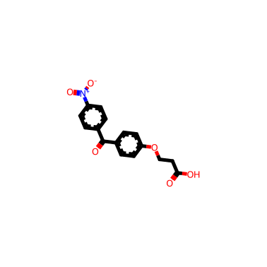 O=C(O)CCOc1ccc(C(=O)c2ccc([N+](=O)[O-])cc2)cc1